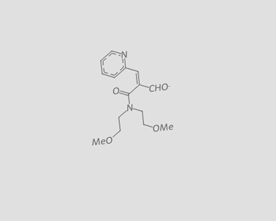 COCCN(CCOC)C(=O)C([C]=O)=Cc1ccccn1